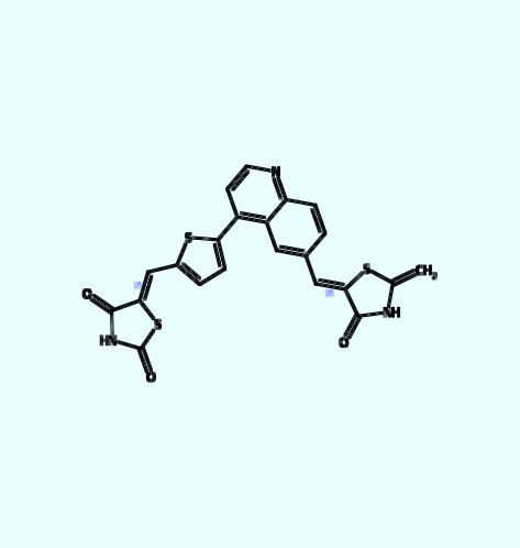 C=c1[nH]c(=O)/c(=C/c2ccc3nccc(-c4ccc(/C=C5\SC(=O)NC5=O)s4)c3c2)s1